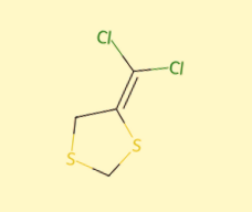 ClC(Cl)=C1CSCS1